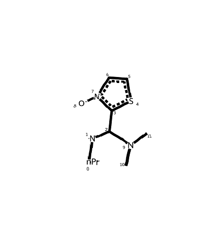 CCC[N]C(c1scc[n+]1[O-])N(C)C